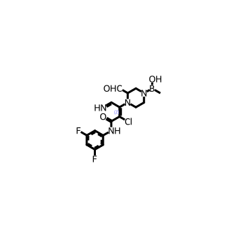 CB(O)N1CCN(/C(C=N)=C(\Cl)C(=O)Nc2cc(F)cc(F)c2)C(C=O)C1